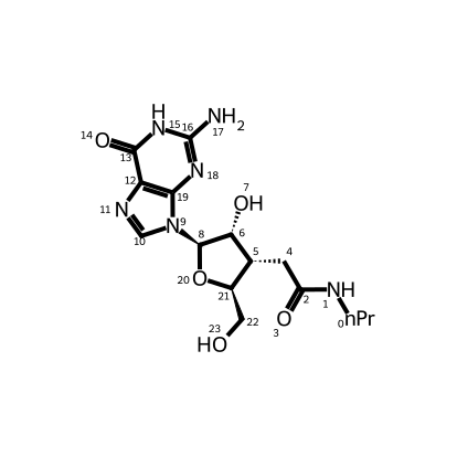 CCCNC(=O)C[C@H]1[C@@H](O)[C@H](n2cnc3c(=O)[nH]c(N)nc32)O[C@@H]1CO